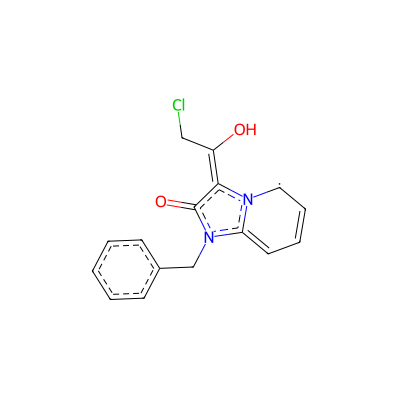 O=c1c(=C(O)CCl)n2c(n1Cc1ccccc1)=CC=C[CH]2